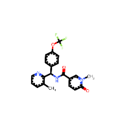 Cc1cccnc1C(NC(=O)c1ccc(=O)n(C)c1)c1ccc(OC(F)(F)F)cc1